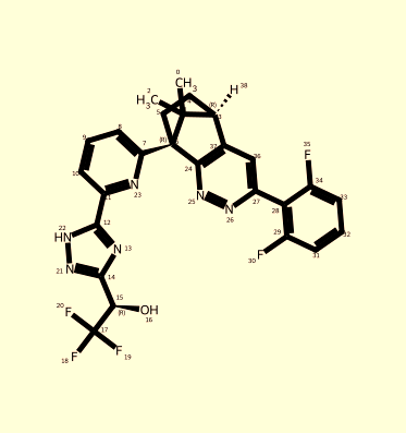 CC1(C)[C@H]2CC[C@@]1(c1cccc(-c3nc([C@@H](O)C(F)(F)F)n[nH]3)n1)c1nnc(-c3c(F)cccc3F)cc12